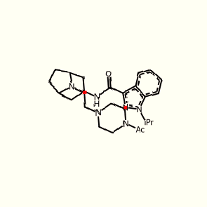 CC(=O)N1CCN(CCN2C3CCC2CC(NC(=O)c2nn(C(C)C)c4ccccc24)C3)CC1